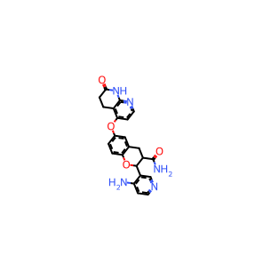 NC(=O)C1Cc2cc(Oc3ccnc4c3CCC(=O)N4)ccc2OC1c1cnccc1N